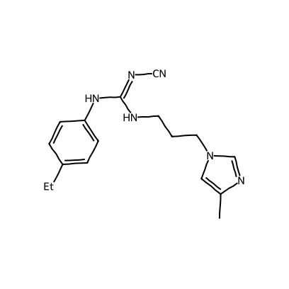 CCc1ccc(NC(=NC#N)NCCCn2cnc(C)c2)cc1